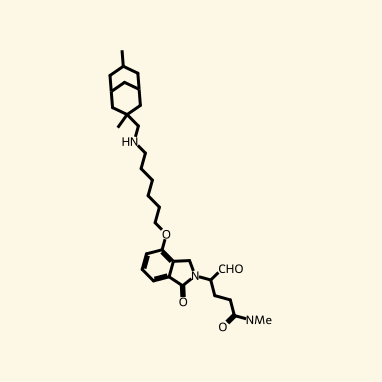 CNC(=O)CCC(C=O)N1Cc2c(OCCCCCCNCC3(C)CC4CC(C)CC(C4)C3)cccc2C1=O